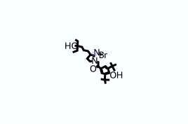 CCC(O)(CC)CCCC1CCN(CC(=O)c2cc(C(C)(C)C)c(O)c(C(C)(C)C)c2)/C1=N\Br